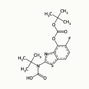 CC(C)(C)OC(=O)Oc1c(F)ccc2sc(N(C(=O)O)C(C)(C)C)nc12